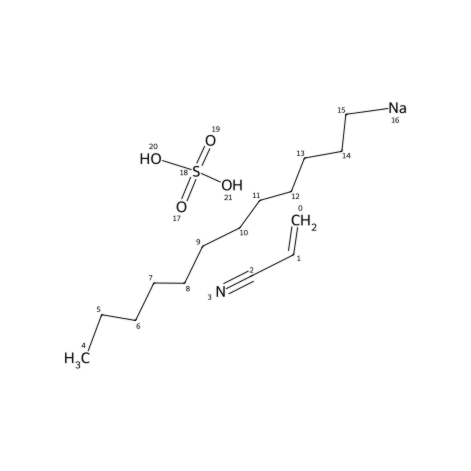 C=CC#N.CCCCCCCCCCC[CH2][Na].O=S(=O)(O)O